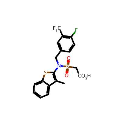 Cc1c(N(Cc2ccc(F)c(C(F)(F)F)c2)S(=O)(=O)CC(=O)O)sc2ccccc12